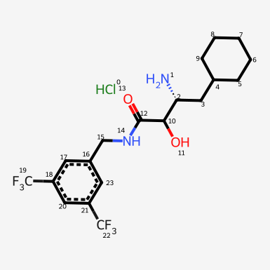 Cl.N[C@H](CC1CCCCC1)C(O)C(=O)NCc1cc(C(F)(F)F)cc(C(F)(F)F)c1